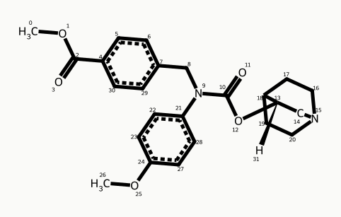 COC(=O)c1ccc(CN(C(=O)O[C@H]2CN3CCC2CC3)c2ccc(OC)cc2)cc1